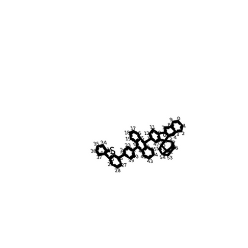 c1ccc2cc3c(cc2c1)-c1ccc(-c2c4ccccc4c(-c4ccc(-c5cccc6c5sc5ccccc56)cc4)c4ccccc24)cc1C31C2CC3CC(C2)CC1C3